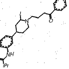 CC(C)C(=O)Nc1cccc(C2CCN(CCCC(=O)c3ccccc3)C(I)C2)c1